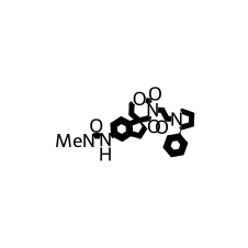 CNC(=O)Nc1ccc2c(c1)CC[C@]21CCOC(=O)N(CC(=O)N2CCC[C@@H]2c2ccccc2)C1=O